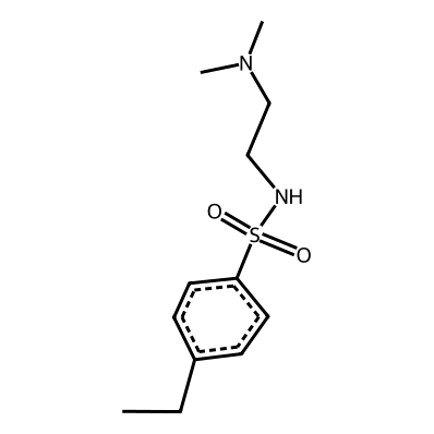 CCc1ccc(S(=O)(=O)NCCN(C)C)cc1